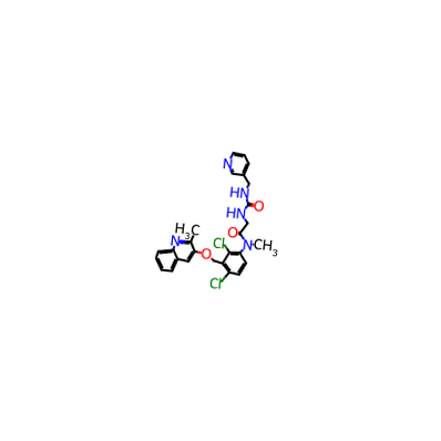 Cc1nc2ccccc2cc1OCc1c(Cl)ccc(N(C)C(=O)CNC(=O)NCc2cccnc2)c1Cl